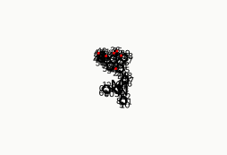 c1ccc(-c2cc(-c3ccccc3)nc(-c3cccc(-c4ccc5c(c4)-c4ccccc4C54c5ccccc5C5(c6ccccc6)c6ccccc6-c6cccc4c65)c3)n2)cc1